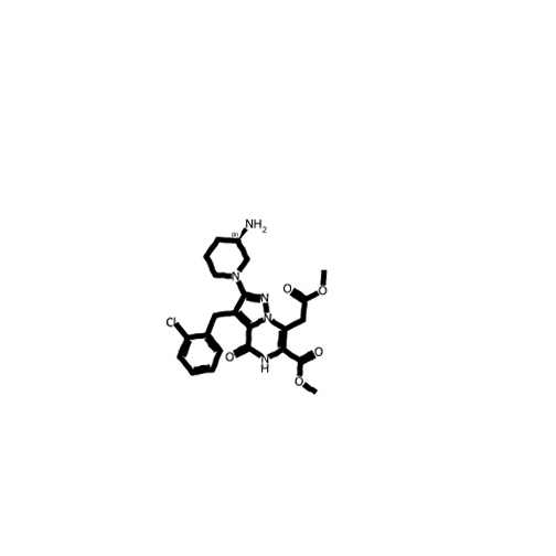 COC(=O)Cc1c(C(=O)OC)[nH]c(=O)c2c(Cc3ccccc3Cl)c(N3CCC[C@@H](N)C3)nn12